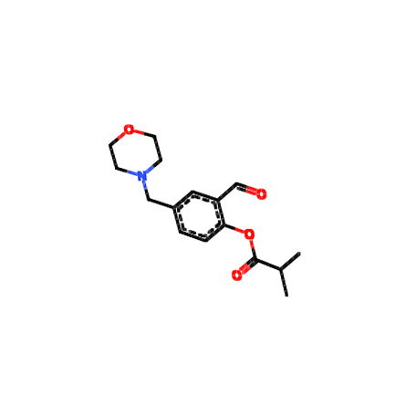 CC(C)C(=O)Oc1ccc(CN2CCOCC2)cc1C=O